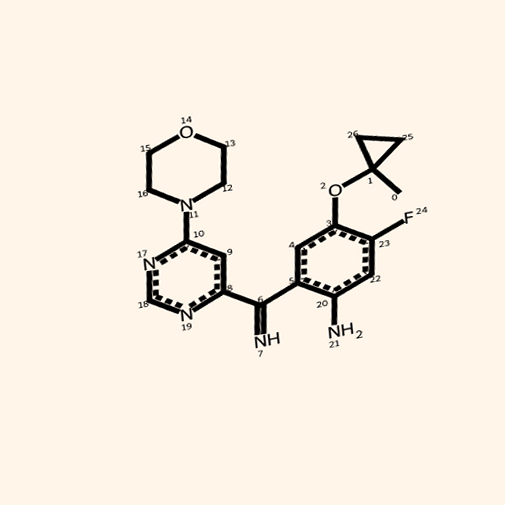 CC1(Oc2cc(C(=N)c3cc(N4CCOCC4)ncn3)c(N)cc2F)CC1